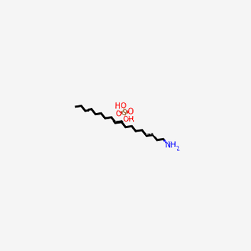 CCCCCCCCCCCCCCCCCCN.O=S(=O)(O)O